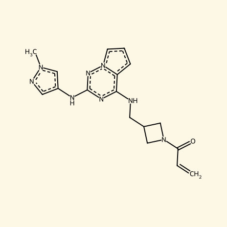 C=CC(=O)N1CC(CNc2nc(Nc3cnn(C)c3)nn3cccc23)C1